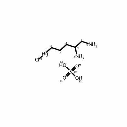 NCC(N)CC[CH2][Hg][Cl].O=S(=O)(O)O